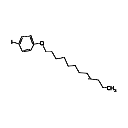 CCC[CH]CCCCCCCCOc1ccc(I)cc1